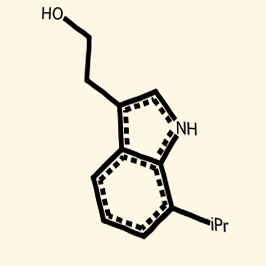 CC(C)c1cccc2c(CCO)c[nH]c12